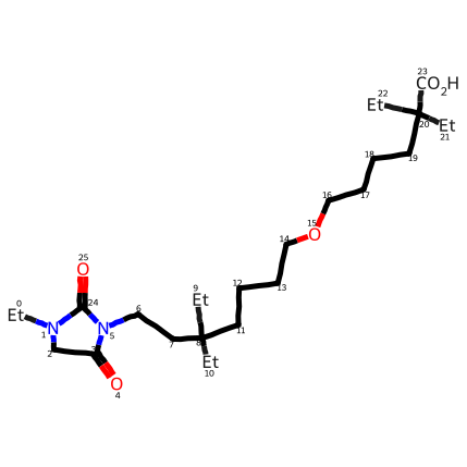 CCN1CC(=O)N(CCC(CC)(CC)CCCCOCCCCC(CC)(CC)C(=O)O)C1=O